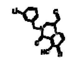 O=Cc1cn(Cc2cccc(Cl)c2)c(=O)c2c(O)c(=O)ccn12